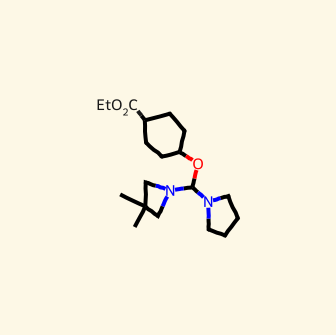 CCOC(=O)C1CCC(OC(N2CCCC2)N2CC(C)(C)C2)CC1